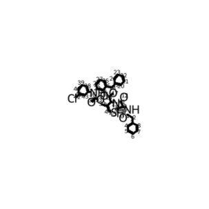 O=C(Cc1ccccc1)NC1C(=O)N2C(C(=O)OC(c3ccccc3)c3ccccc3)C(COC(=O)Nc3cccc(Cl)c3)=CS[C@H]12